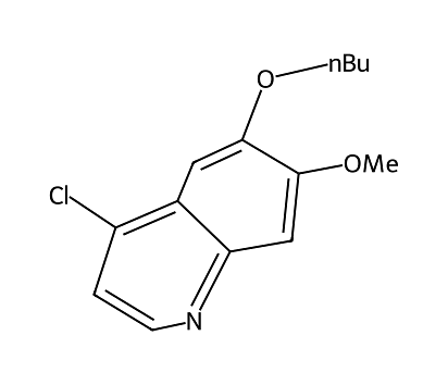 CCCCOc1cc2c(Cl)ccnc2cc1OC